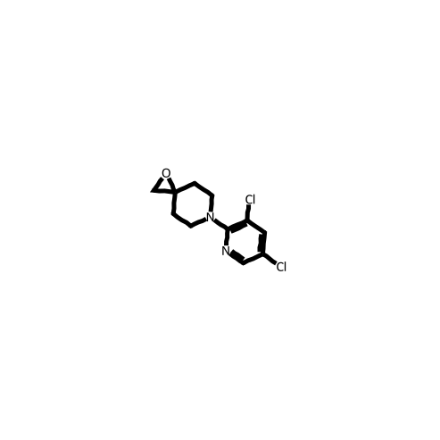 Clc1cnc(N2CCC3(CC2)CO3)c(Cl)c1